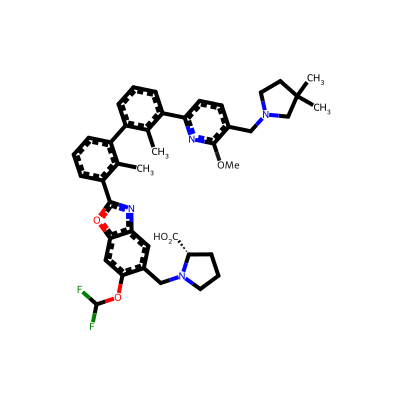 COc1nc(-c2cccc(-c3cccc(-c4nc5cc(CN6CCC[C@H]6C(=O)O)c(OC(F)F)cc5o4)c3C)c2C)ccc1CN1CCC(C)(C)C1